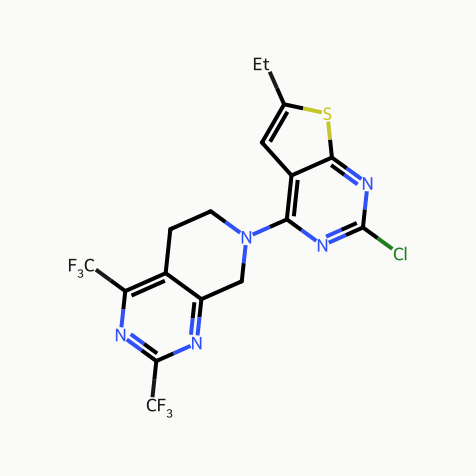 CCc1cc2c(N3CCc4c(nc(C(F)(F)F)nc4C(F)(F)F)C3)nc(Cl)nc2s1